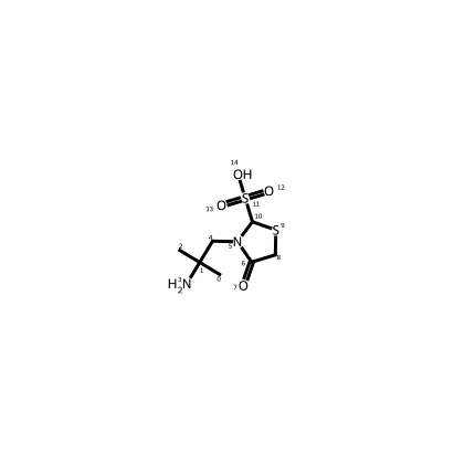 CC(C)(N)CN1C(=O)CSC1S(=O)(=O)O